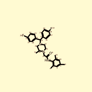 Cc1cc(C)c(NC(=O)CN2CCN(C(c3ccc(F)cc3)c3ccc(F)cc3)CC2C)c(C)c1